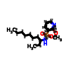 CCCCCCCC(CC)NS(=O)(=O)c1cccnc1OC